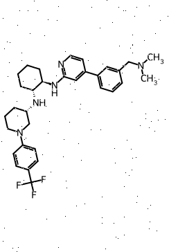 CN(C)Cc1cccc(-c2ccnc(N[C@@H]3CCCC[C@H]3N[C@H]3CCCN(c4ccc(C(F)(F)F)cc4)C3)c2)c1